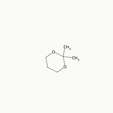 CC1(C)OC[CH]CO1